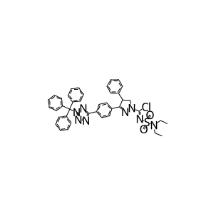 CCN(CC)S(=O)(=O)/N=C(\Cl)N1CC(c2ccccc2)C(c2ccc(-c3nnn(C(c4ccccc4)(c4ccccc4)c4ccccc4)n3)cc2)=N1